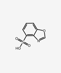 O=S(=O)(O)c1cccc2ocnc12